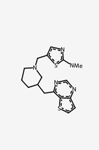 CNc1ncc(CN2CCCC(Cc3ncnc4ccsc34)C2)s1